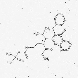 C=CC(=O)N(CCNC(=O)OC(C)(C)C)C(c1nc2ncccc2c(=O)n1Cc1ccccc1)C(C)C